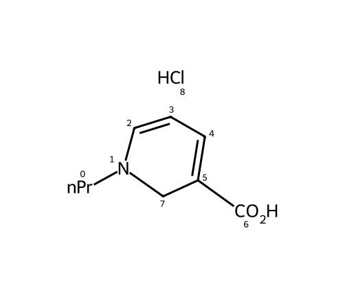 CCCN1C=CC=C(C(=O)O)C1.Cl